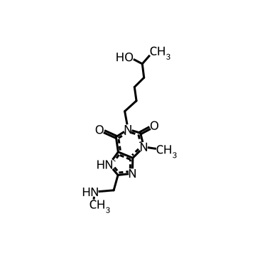 CNCc1nc2c([nH]1)c(=O)n(CCCCC(C)O)c(=O)n2C